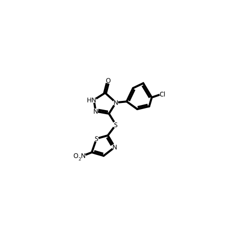 O=c1[nH]nc(Sc2ncc([N+](=O)[O-])s2)n1-c1ccc(Cl)cc1